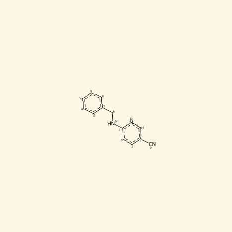 N#Cc1ccc(NCc2ccccc2)nc1